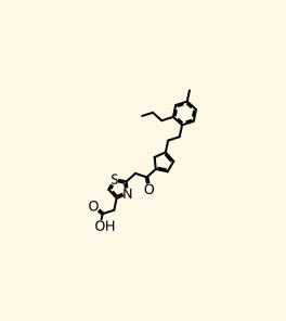 CCCc1cc(C)ccc1CCC1=CC=C(C(=O)Cc2nc(CC(=O)O)cs2)C1